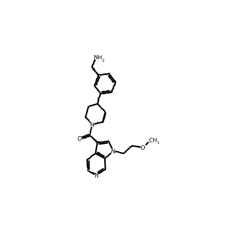 COCCn1cc(C(=O)N2CCC(c3cccc(CN)c3)CC2)c2ccncc21